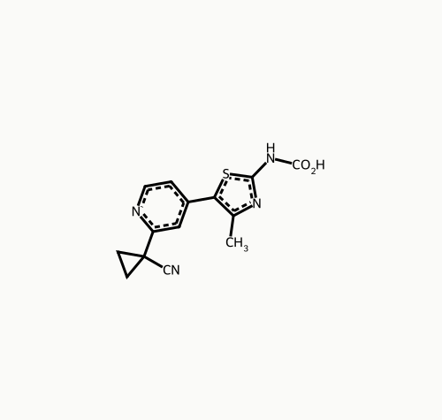 Cc1nc(NC(=O)O)sc1-c1ccnc(C2(C#N)CC2)c1